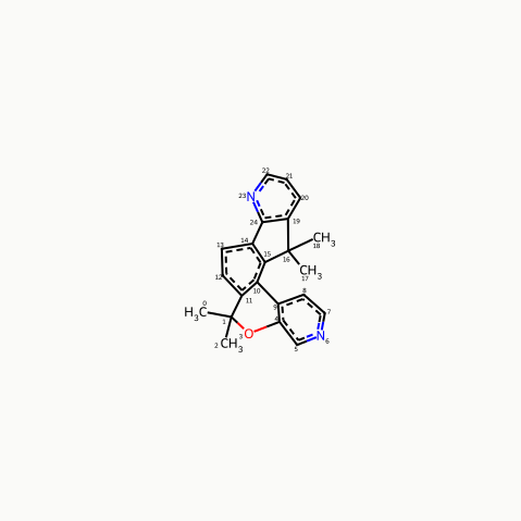 CC1(C)Oc2cnccc2-c2c1ccc1c2C(C)(C)c2cccnc2-1